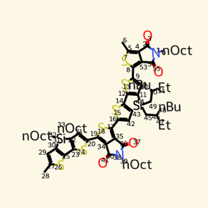 CCCCCCCCN1C(=O)c2c(C)sc(-c3cc4c(s3)-c3sc(-c5sc(-c6cc7c(s6)-c6sc(C)cc6[Si]7(CCCCCCCC)CCCCCCCC)c6c5C(=O)N(CCCCCCCC)C6=O)cc3[Si]4(CC(CC)CCCC)CC(CC)CCCC)c2C1=O